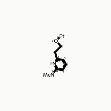 CCOCCc1cccc(NC)n1